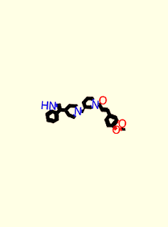 O=C(/C=C/c1ccc2c(c1)OCO2)N1CCC[C@H](CN2CCC(c3c[nH]c4ccccc34)CC2)C1